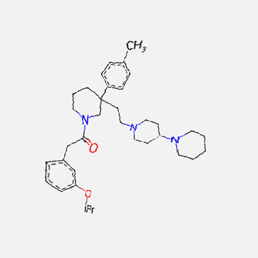 Cc1ccc(C2(CCN3CCC(N4CCCCC4)CC3)CCCN(C(=O)Cc3cccc(OC(C)C)c3)C2)cc1